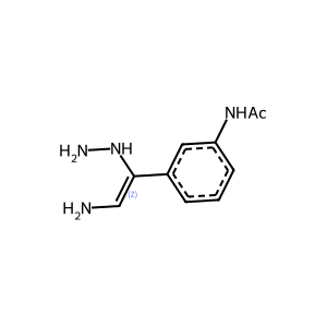 CC(=O)Nc1cccc(/C(=C/N)NN)c1